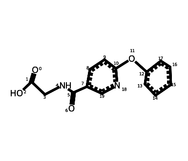 O=C(O)CNC(=O)c1ccc(Oc2ccccc2)nc1